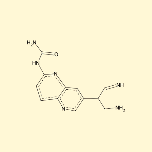 N=CC(CN)c1cnc2ccc(NC(N)=O)nc2c1